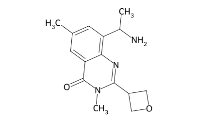 Cc1cc(C(C)N)c2nc(C3COC3)n(C)c(=O)c2c1